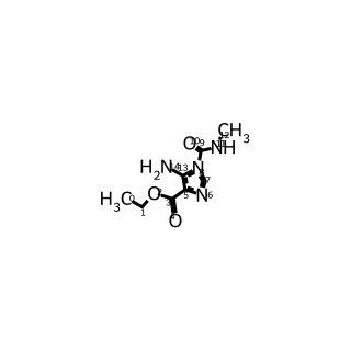 CCOC(=O)c1ncn(C(=O)NC)c1N